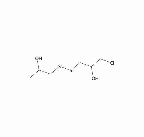 CC(O)CSSCC(O)CCl